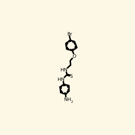 Nc1ccc(NC(=S)NCCOc2ccc(Br)cc2)cc1